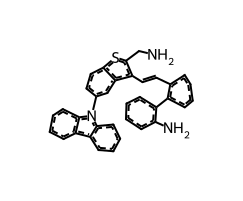 NCc1sc2ccc(-n3c4ccccc4c4ccccc43)cc2c1C=Cc1ccccc1-c1ccccc1N